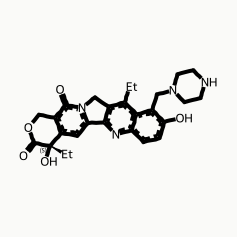 CCc1c2c(nc3ccc(O)c(CN4CCNCC4)c13)-c1cc3c(c(=O)n1C2)COC(=O)[C@]3(O)CC